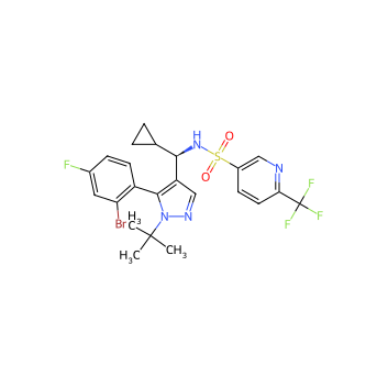 CC(C)(C)n1ncc([C@H](NS(=O)(=O)c2ccc(C(F)(F)F)nc2)C2CC2)c1-c1ccc(F)cc1Br